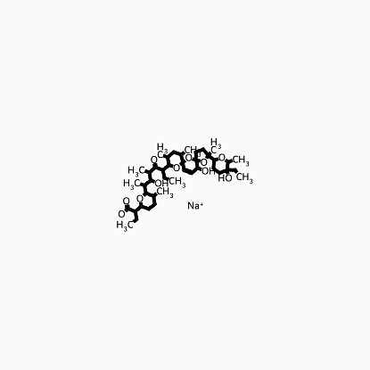 CCC(C(=O)[O-])C1CCC(C)C(C(C)C(O)C(C)C(=O)C(CC)C2OC3(C=CC(O)C4(CCC(C)(C5CCC(O)(CC)C(C)O5)O4)O3)C(C)CC2C)O1.[Na+]